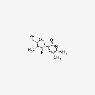 [2H]CC1OCC(n2cc(C)c(N)nc2=O)C(F)C1C